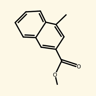 COC(=O)c1cc(C)c2ccccc2c1